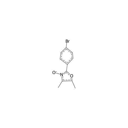 Cc1oc(-c2ccc(Br)cc2)[n+]([O-])c1C